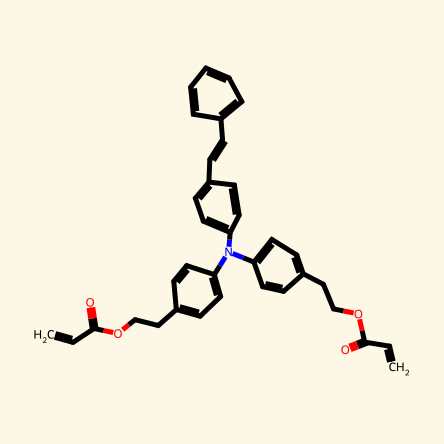 C=CC(=O)OCCc1ccc(N(c2ccc(C=Cc3ccccc3)cc2)c2ccc(CCOC(=O)C=C)cc2)cc1